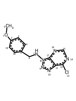 COc1ccc(CNn2nnc3c(Cl)ncnc32)cc1